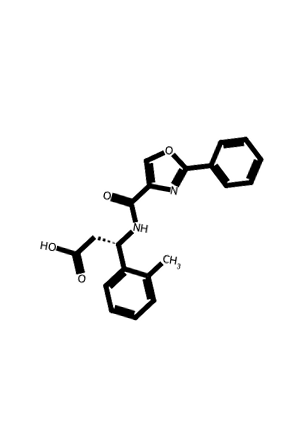 Cc1ccccc1[C@H](CC(=O)O)NC(=O)c1coc(-c2ccccc2)n1